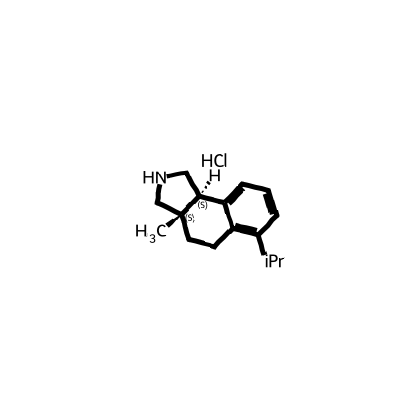 CC(C)c1cccc2c1CC[C@]1(C)CNC[C@@H]21.Cl